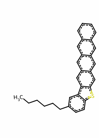 CCCCCCc1ccc2sc3cc4cc5cc6ccccc6cc5cc4cc3c2c1